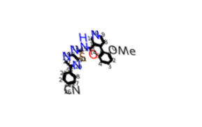 COc1ccccc1-c1ccncc1C(=O)Nc1nc2ncc(-c3ccc(C#N)cc3)nc2s1